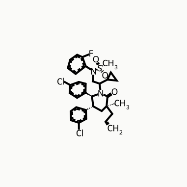 C=CC[C@@]1(C)C[C@H](c2cccc(Cl)c2)[C@@H](c2ccc(Cl)cc2)N(C(CN(c2ccccc2F)S(C)(=O)=O)C2CC2)C1=O